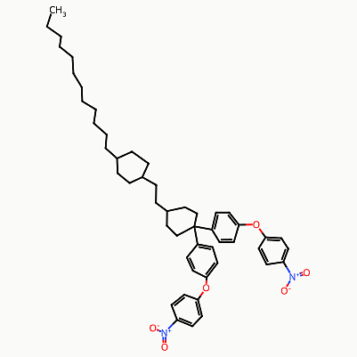 CCCCCCCCCCCCC1CCC(CCC2CCC(c3ccc(Oc4ccc([N+](=O)[O-])cc4)cc3)(c3ccc(Oc4ccc([N+](=O)[O-])cc4)cc3)CC2)CC1